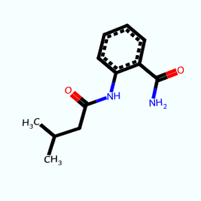 CC(C)CC(=O)Nc1ccccc1C(N)=O